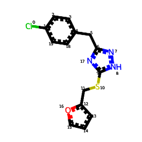 Clc1ccc(Cc2n[nH]c(SCc3ccco3)n2)cc1